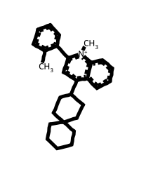 Cc1ccccc1-c1cc(C2CCC3(CCCCC3)CC2)c2ccccc2[n+]1C